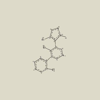 CCc1cnccc1-c1cncc(-c2c(CC)cnn2C)c1CC